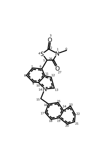 CN1C(=O)SC(c2cccc3c2ccn3Cc2ccc3ccccc3c2)C1=O